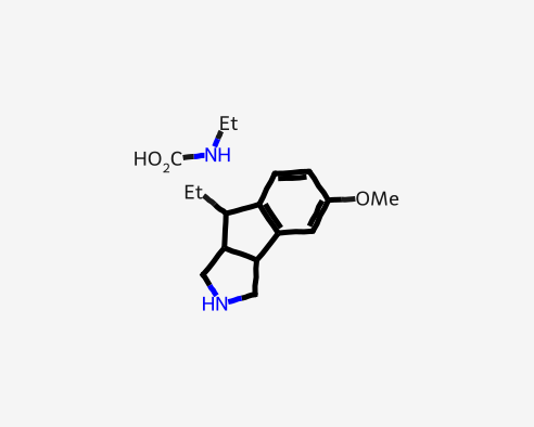 CCC1c2ccc(OC)cc2C2CNCC12.CCNC(=O)O